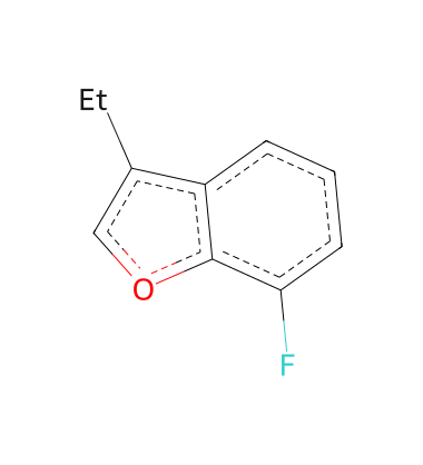 [CH2]Cc1coc2c(F)cccc12